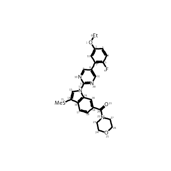 CCOc1ccc(F)c(-c2cnc(-n3cc(SC)c4ccc(C(=O)N5CCOCC5)cc43)nc2)c1